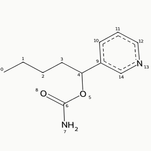 CCCCC(OC(N)=O)c1cccnc1